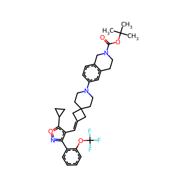 CC(C)(C)OC(=O)N1CCc2cc(N3CCC4(CC3)CC(=Cc3c(-c5ccccc5OC(F)(F)F)noc3C3CC3)C4)ccc2C1